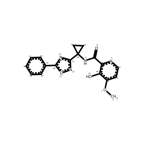 COc1ccnc(C(=O)NC2(c3noc(-c4ccccc4)n3)CC2)c1O